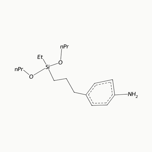 CCCO[Si](CC)(CCCc1ccc(N)cc1)OCCC